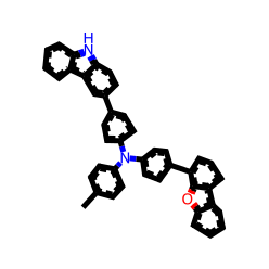 Cc1ccc(N(c2ccc(-c3ccc4[nH]c5ccccc5c4c3)cc2)c2ccc(-c3cccc4c3oc3ccccc34)cc2)cc1